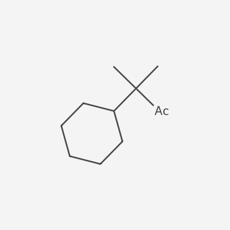 CC(=O)C(C)(C)C1CCCCC1